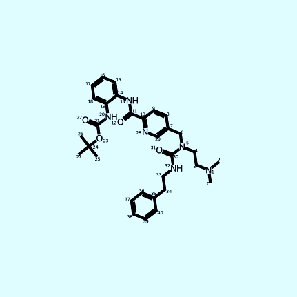 CN(C)CCN(Cc1ccc(C(=O)Nc2ccccc2NC(=O)OC(C)(C)C)nc1)C(=O)NCCc1ccccc1